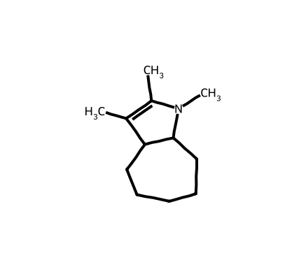 CC1=C(C)N(C)C2CCCCCC12